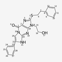 O=c1c2nc(SCCc3ccccc3)n(CCO)c2nc2[nH]c(-c3ccccc3)cn12